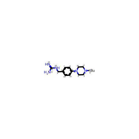 CC(C)(C)N1CCN(c2ccc(CNC(=N)N)cc2)CC1